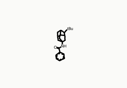 CC(C)(C)C1C2CC3CC1CC(NC(=O)c1ccccc1)(C3)C2